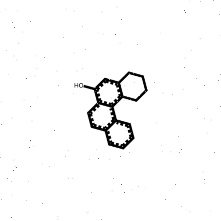 Oc1cc2c(c3c1ccc1ccccc13)CCCC2